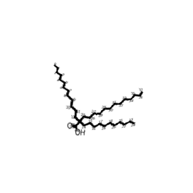 CCCCCCCCCCCCCC(CCCCCCCCCCC)(CCCCCCCCCCCCC)C(=O)O